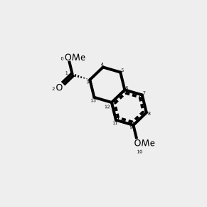 COC(=O)[C@@H]1CCc2ccc(OC)cc2C1